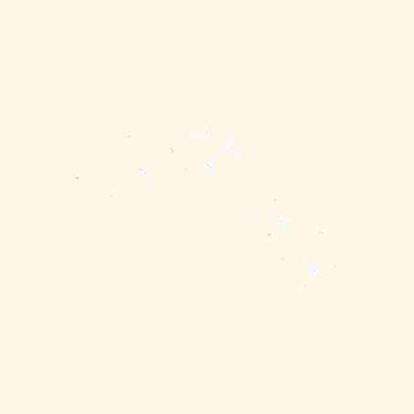 Cc1cc(Nc2ncc3c(n2)OCN(c2c(F)cccc2Cl)C3=O)ccc1N1CCC(N(C)C)CC1